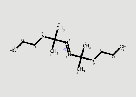 CC(C)(/N=N/C(C)(C)SCCO)SCCO